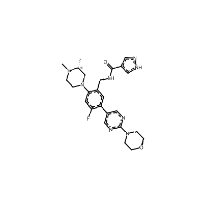 C[C@@H]1CN(c2cc(F)c(-c3cnc(N4CCOCC4)nc3)cc2CNC(=O)c2cn[nH]c2)CCN1C